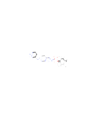 CC(C)(C)OC(=O)NCC1CCN(Cc2cccnc2)CC1